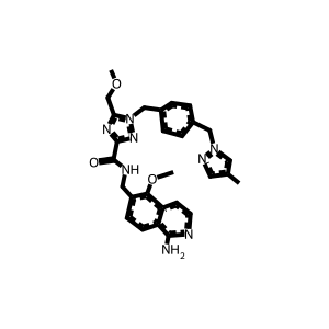 COCc1nc(C(=O)NCc2ccc3c(N)nccc3c2OC)nn1Cc1ccc(Cn2cc(C)cn2)cc1